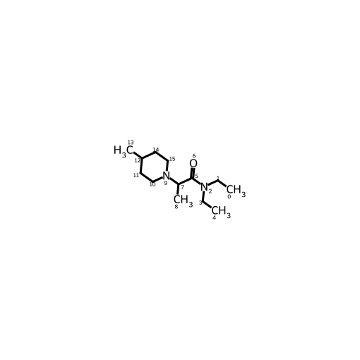 CCN(CC)C(=O)C(C)N1CCC(C)CC1